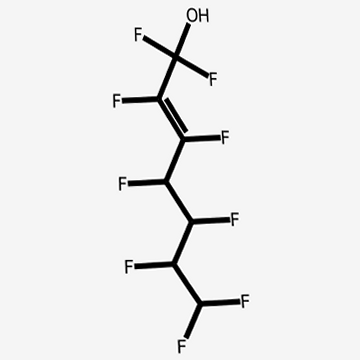 OC(F)(F)C(F)=C(F)C(F)C(F)C(F)C(F)F